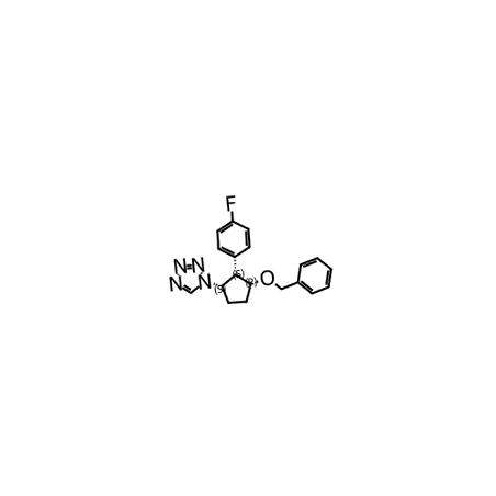 Fc1ccc([C@@H]2[C@H](OCc3ccccc3)CC[C@@H]2n2cnnn2)cc1